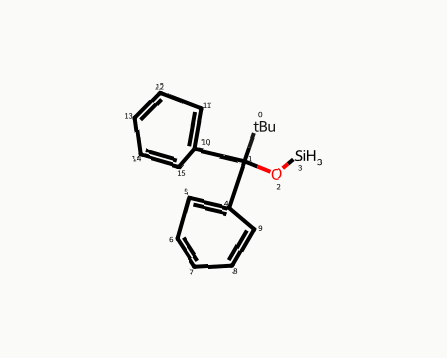 CC(C)(C)C(O[SiH3])(c1ccccc1)c1ccccc1